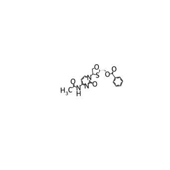 CC(=O)Nc1ccn(C2CO[C@H](COC(=O)c3ccccc3)S2)c(=O)n1